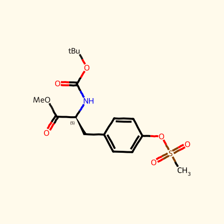 COC(=O)[C@H](Cc1ccc(OS(C)(=O)=O)cc1)NC(=O)OC(C)(C)C